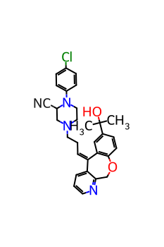 CC(C)(O)c1ccc2c(c1)/C(=C\CCN1CCN(c3ccc(Cl)cc3)C(C#N)C1)c1cccnc1CO2